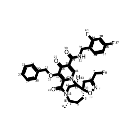 C[C@H]1CC[C@@]2(CC(CF)=NO2)[C@H]2CN1C(=O)c1c(OCc3ccccc3)c(=O)c(C(=O)NCc3ccc(F)cc3F)cn12